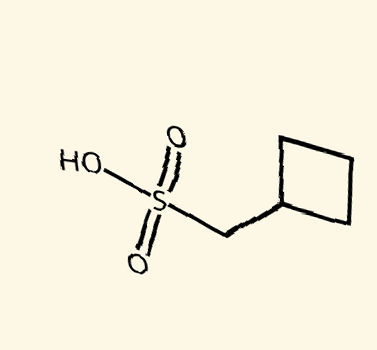 O=S(=O)(O)CC1CCC1